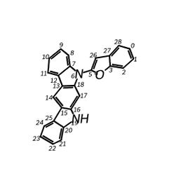 c1ccc2oc(-n3c4ccccc4c4cc5c(cc43)[nH]c3ccccc35)cc2c1